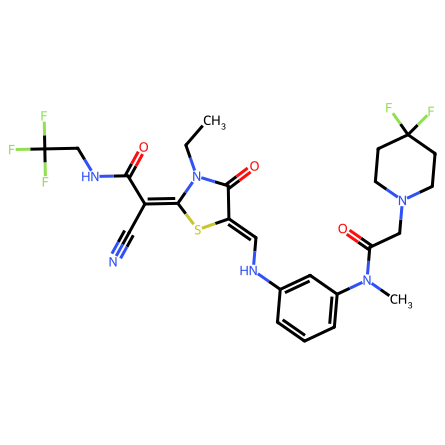 CCn1c(=C(C#N)C(=O)NCC(F)(F)F)sc(=CNc2cccc(N(C)C(=O)CN3CCC(F)(F)CC3)c2)c1=O